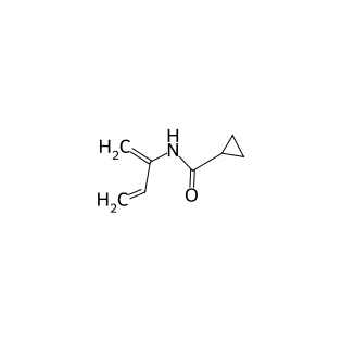 C=CC(=C)NC(=O)C1CC1